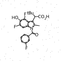 Cc1c(C(C(=O)O)C(C)(C)C)c2c(F)c(O)c(F)cc2n1C(=O)c1cccc(F)c1